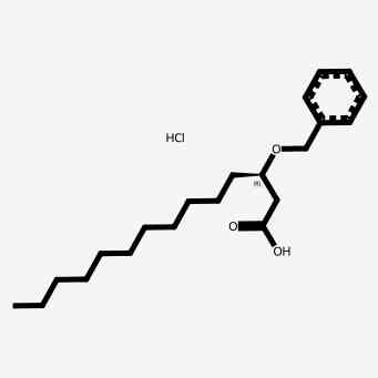 CCCCCCCCCCC[C@H](CC(=O)O)OCc1ccccc1.Cl